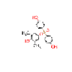 Cc1cccc(C)c1O.O=S(=O)(c1ccc(O)cc1)c1ccc(O)cc1